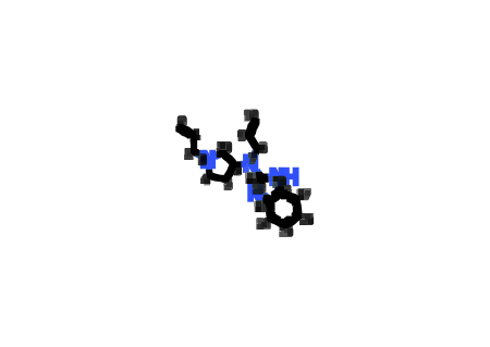 C=CCN1CCC(N(CC=C)c2nc3ccccc3[nH]2)C1